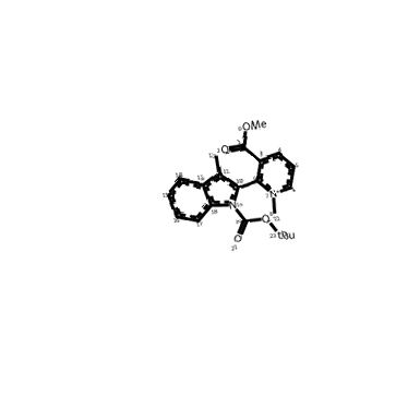 COC(=O)c1ccc[n+](C)c1-c1c(C)c2ccccc2n1C(=O)OC(C)(C)C